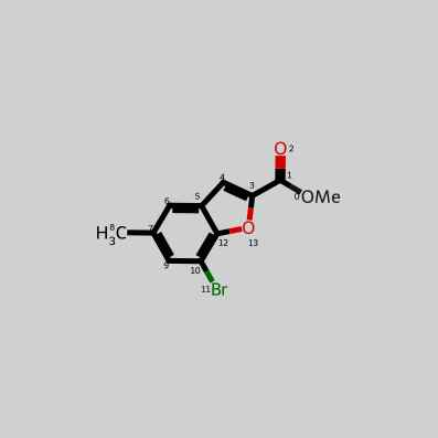 COC(=O)c1cc2cc(C)cc(Br)c2o1